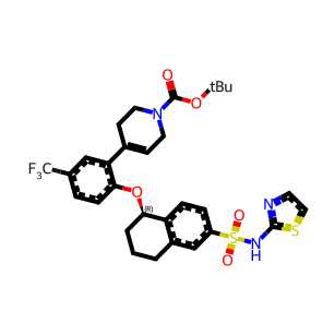 CC(C)(C)OC(=O)N1CC=C(c2cc(C(F)(F)F)ccc2O[C@@H]2CCCc3cc(S(=O)(=O)Nc4nccs4)ccc32)CC1